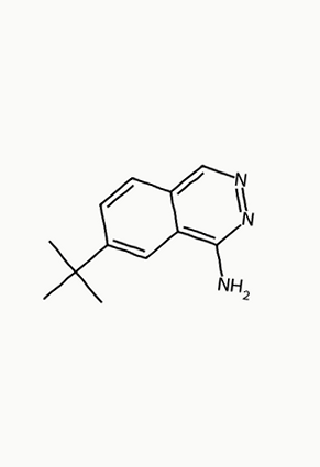 CC(C)(C)c1ccc2cnnc(N)c2c1